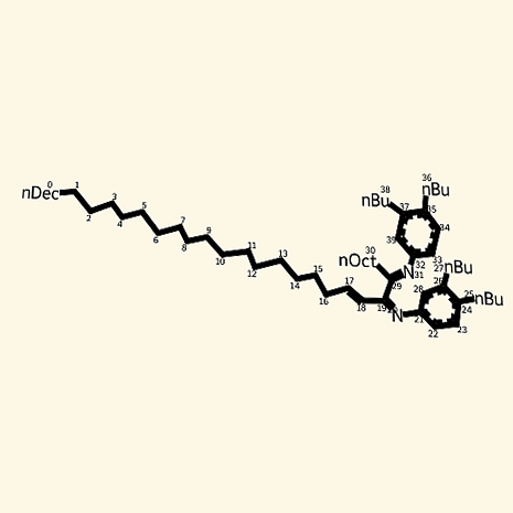 CCCCCCCCCCCCCCCCCCCCCCCCCCC=CC(=Nc1ccc(CCCC)c(CCCC)c1)C(CCCCCCCC)=Nc1ccc(CCCC)c(CCCC)c1